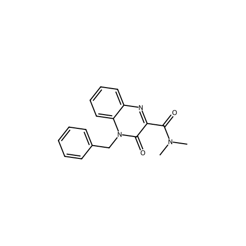 CN(C)C(=O)c1nc2ccccc2n(Cc2ccccc2)c1=O